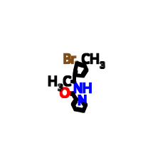 Cc1ccc(C(C)NC(=O)c2ccccn2)cc1Br